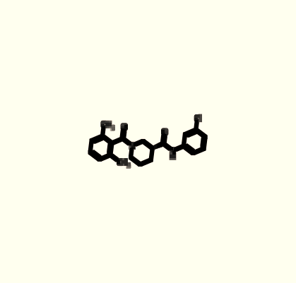 Cc1cccc(C)c1C(=O)N1CCC[C@H](C(=O)Nc2cccc(Cl)c2)C1